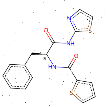 O=C(N[C@@H](Cc1ccccc1)C(=O)Nc1nccs1)c1cccs1